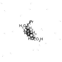 CC(C)CCC[C@@H](C)[C@H]1CC[C@H]2[C@@H]3CC=C4C[C@@](O)(CC(=O)O)CC[C@]4(C)[C@H]3CC[C@]12C